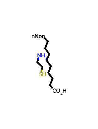 CCCCCCCCCCCCCCCCCC(=O)O.NCCS